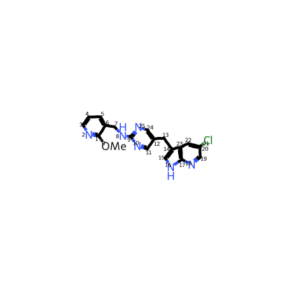 COc1ncccc1CNc1ncc(Cc2c[nH]c3ncc(Cl)cc23)cn1